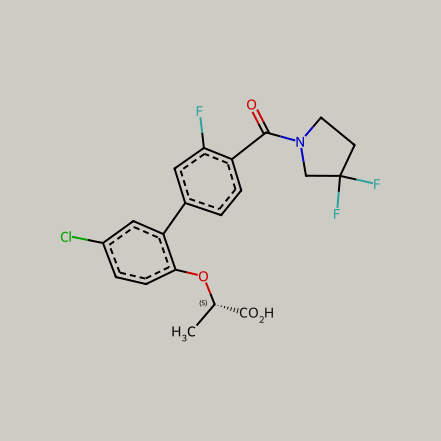 C[C@H](Oc1ccc(Cl)cc1-c1ccc(C(=O)N2CCC(F)(F)C2)c(F)c1)C(=O)O